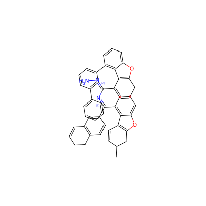 CC1C=Cc2c(oc3cccc(/C(=N\C(=N/N)C4=CCCc5oc6cccc(-c7cccc(-c8ccccc8)c7)c6c54)c4ccc5c(c4)C=CCC5)c23)C1